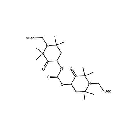 CCCCCCCCCCCN1C(C)(C)CC(OC(=O)OC2CC(C)(C)N(CCCCCCCCCCC)C(C)(C)C2=O)C(=O)C1(C)C